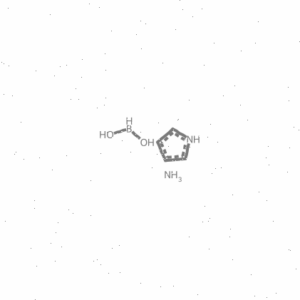 N.OBO.c1cc[nH]c1